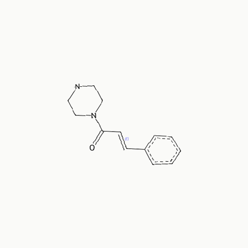 O=C(/C=C/c1ccccc1)N1CC[N]CC1